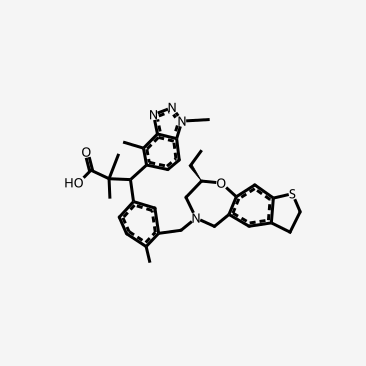 CC[C@@H]1CN(Cc2cc(C(c3ccc4c(nnn4C)c3C)C(C)(C)C(=O)O)ccc2C)Cc2cc3c(cc2O1)SCC3